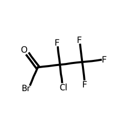 O=C(Br)C(F)(Cl)C(F)(F)F